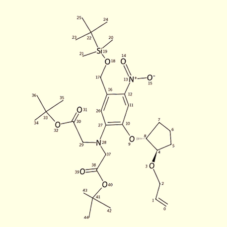 C=CCO[C@@H]1CCC[C@H]1Oc1cc([N+](=O)[O-])c(CO[Si](C)(C)C(C)(C)C)cc1N(CC(=O)OC(C)(C)C)CC(=O)OC(C)(C)C